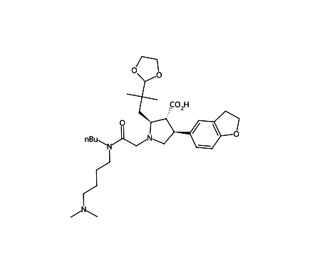 CCCCN(CCCCN(C)C)C(=O)CN1C[C@H](c2ccc3c(c2)CCO3)[C@@H](C(=O)O)[C@@H]1CC(C)(C)C1OCCO1